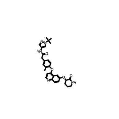 Cc1cc(CC(=O)Nc2cnn(C(C)(C)C)c2)ccc1Oc1ccnc2ccc(OC3CCCNC3=O)cc12